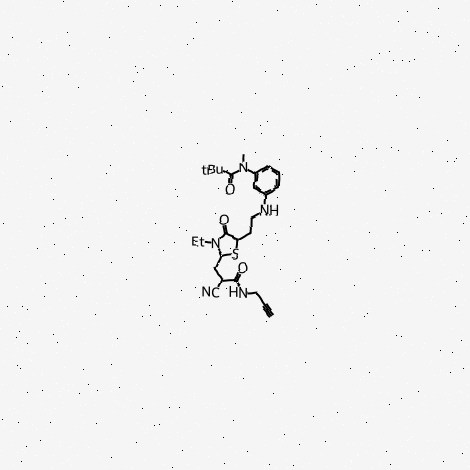 C#CCNC(=O)C(C#N)CC1SC(CCNc2cccc(N(C)C(=O)C(C)(C)C)c2)C(=O)N1CC